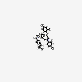 C/C(=N/O)c1c[nH]nn1.Clc1ccc(CO/N=C(\Cn2cncn2)c2ccc(Cl)cc2Cl)c(Cl)c1.O=[N+]([O-])O